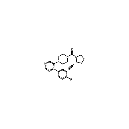 N#C[C@H]1CCCN1C(=O)N1CCN(c2cncnc2-c2ccc(F)cc2)CC1